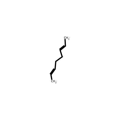 [CH2]C=C[CH]CC=C[CH2]